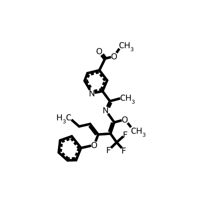 CC/C=C(Oc1ccccc1)/C(=C(\N=C(/C)c1cc(C(=O)OC)ccn1)OC)C(F)(F)F